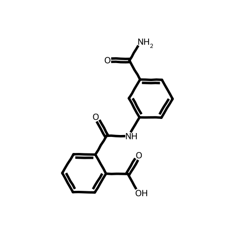 NC(=O)c1cccc(NC(=O)c2ccccc2C(=O)O)c1